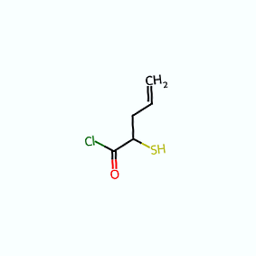 C=CCC(S)C(=O)Cl